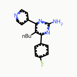 CCCCc1c(-c2ccncc2)nc(N)nc1-c1ccc(F)cc1